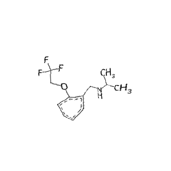 CC(C)NCc1ccccc1OCC(F)(F)F